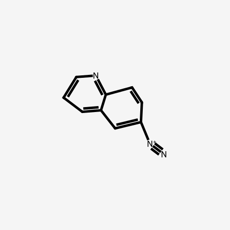 N#[N+]c1ccc2ncccc2c1